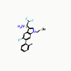 Cc1ccccc1-c1cc2c(cc1F)c([C@H](N)C(F)F)cn2CC(C)(C)C